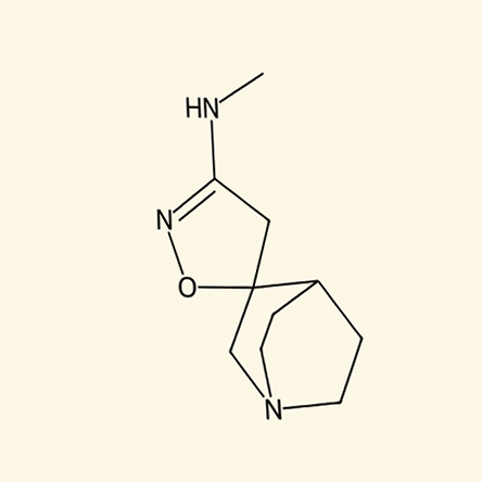 CNC1=NOC2(C1)CN1CCC2CC1